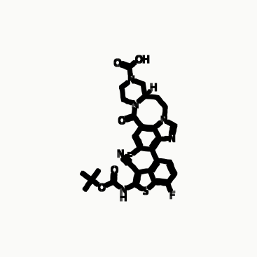 CC(C)(C)OC(=O)Nc1sc2c(F)ccc(-c3c(F)cc4c5c3ncn5CC[C@H]3CN(C(=O)O)CCN3C4=O)c2c1C#N